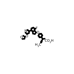 CC#CC(CC(=O)O)c1ccc(O[C@@H]2CCc3c(-c4cncc(OC5CCOC5)c4)ccc(F)c32)cc1